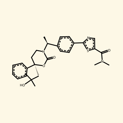 C[C@@H](c1ccc(-c2ncc(C(=O)N(C)C)s2)cc1)N1CC[C@](CC(C)(C)O)(c2ccccc2)OC1=O